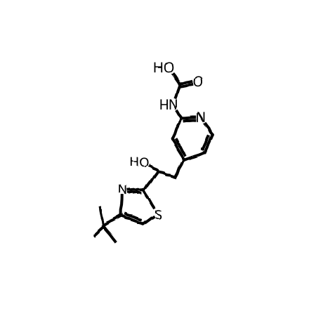 CC(C)(C)c1csc(C(O)Cc2ccnc(NC(=O)O)c2)n1